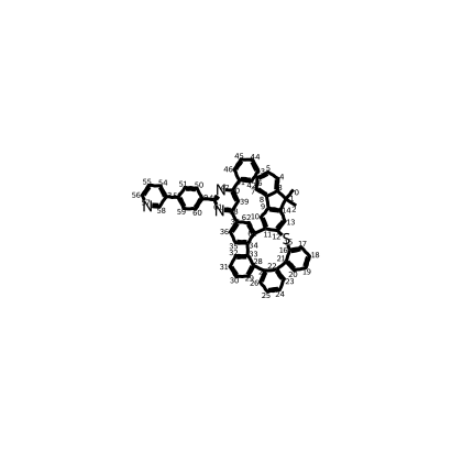 CC1(C)c2ccccc2-c2cc3c(cc21)Sc1ccccc1-c1ccccc1-c1ccccc1-c1ccc(-c2cc(-c4ccccc4)nc(-c4ccc(-c5cccnc5)cc4)n2)cc1-3